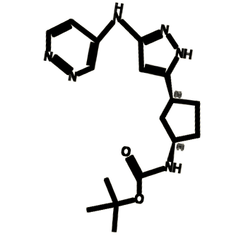 CC(C)(C)OC(=O)N[C@@H]1CC[C@H](c2cc(Nc3ccnnc3)n[nH]2)C1